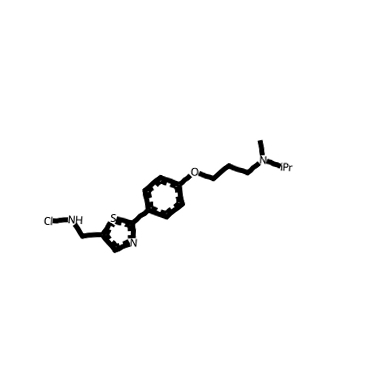 CC(C)N(C)CCCOc1ccc(-c2ncc(CNCl)s2)cc1